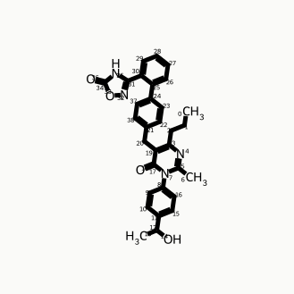 CCCc1nc(C)n(-c2ccc(C(C)O)cc2)c(=O)c1Cc1ccc(-c2ccccc2-c2noc(=O)[nH]2)cc1